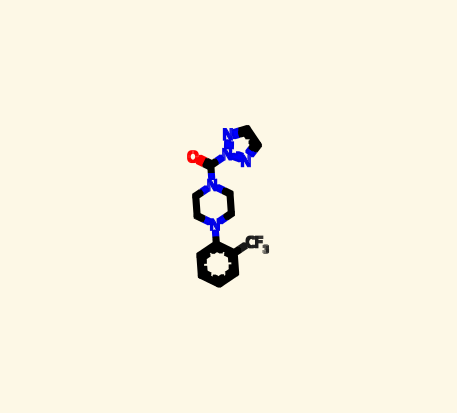 O=C(N1CCN(c2ccccc2C(F)(F)F)CC1)n1nccn1